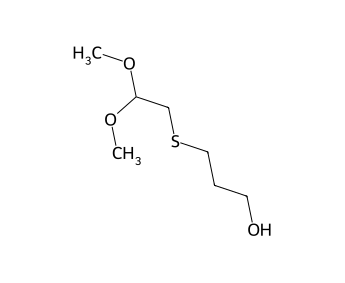 COC(CSCCCO)OC